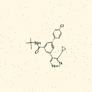 CC(C)(C)NC(=O)c1cc(-c2ccc(Cl)cc2)cc(-c2cncnc2C2CC2)c1